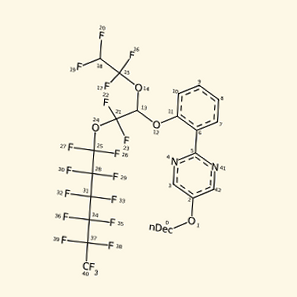 CCCCCCCCCCOc1cnc(-c2ccccc2OC(OC(F)(F)C(F)F)C(F)(F)OC(F)(F)C(F)(F)C(F)(F)C(F)(F)C(F)(F)C(F)(F)F)nc1